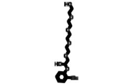 CC(C)(C)c1ccccc1OC(O)COCCOCCOCCOCCO